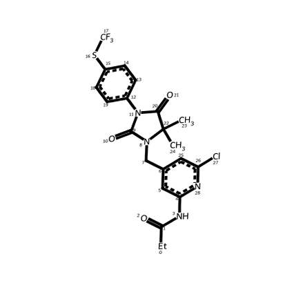 CCC(=O)Nc1cc(CN2C(=O)N(c3ccc(SC(F)(F)F)cc3)C(=O)C2(C)C)cc(Cl)n1